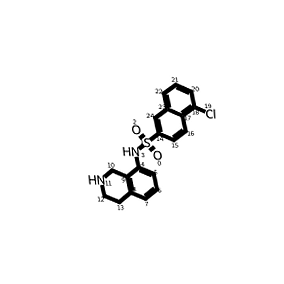 O=S(=O)(Nc1cccc2c1CNCC2)c1ccc2c(Cl)cccc2c1